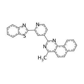 Cc1nc(-c2ccnc(-c3nc4ccccc4s3)c2)nc2c1ccc1ccccc12